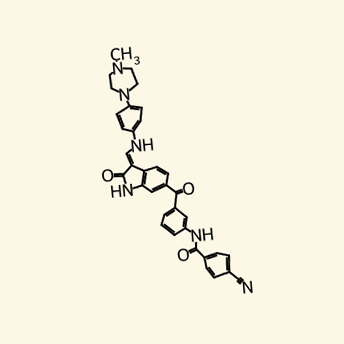 CN1CCN(c2ccc(N/C=C3/C(=O)Nc4cc(C(=O)c5cccc(NC(=O)c6ccc(C#N)cc6)c5)ccc43)cc2)CC1